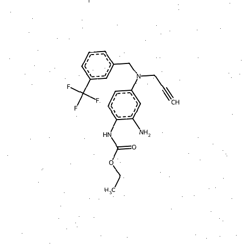 C#CCN(Cc1cccc(C(F)(F)F)c1)c1ccc(NC(=O)OCC)c(N)c1